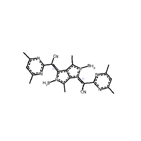 Bn1c(C)c2/c(=C(\C#N)c3nc(C)cc(C)n3)n(B)c(C)c2/c1=C(\C#N)c1nc(C)cc(C)n1